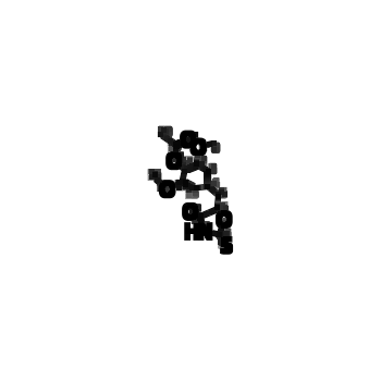 COc1cc(CC2OC(=S)NC2=O)cc(OC)c1OC(C)=O